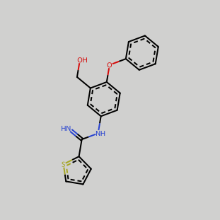 N=C(Nc1ccc(Oc2ccccc2)c(CO)c1)c1cccs1